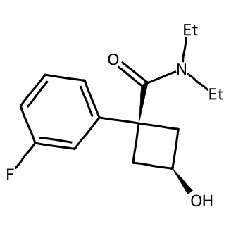 CCN(CC)C(=O)[C@]1(c2cccc(F)c2)C[C@H](O)C1